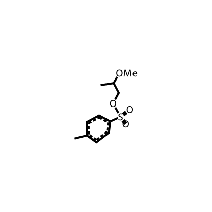 COC(C)COS(=O)(=O)c1ccc(C)cc1